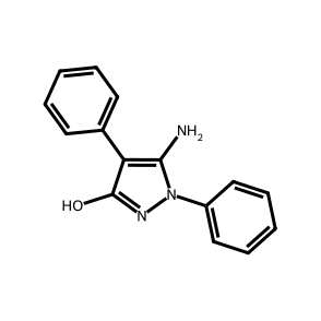 Nc1c(-c2ccccc2)c(O)nn1-c1ccccc1